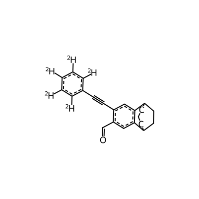 [2H]c1c([2H])c([2H])c(C#Cc2cc3c(cc2C=O)C2CCCC3CC2)c([2H])c1[2H]